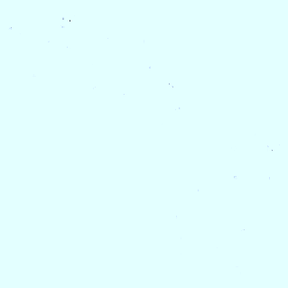 CCC(CC)(c1ccc(NC(=O)CCc2cnoc2-c2ccc(Cl)c(Br)c2)cc1)P(=O)(O)O